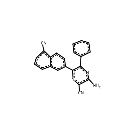 N#Cc1nc(-c2ccc3c(C#N)cccc3c2)c(-c2ccccc2)nc1N